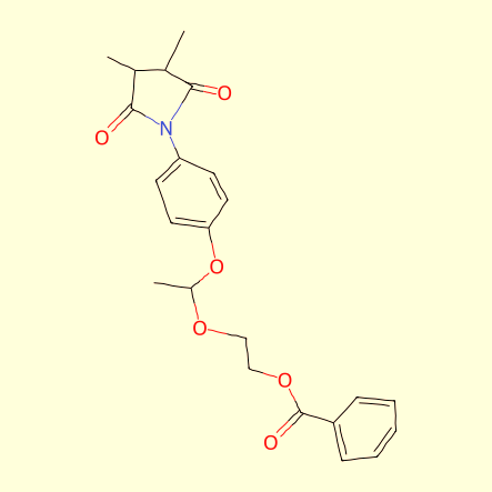 CC(OCCOC(=O)c1ccccc1)Oc1ccc(N2C(=O)C(C)C(C)C2=O)cc1